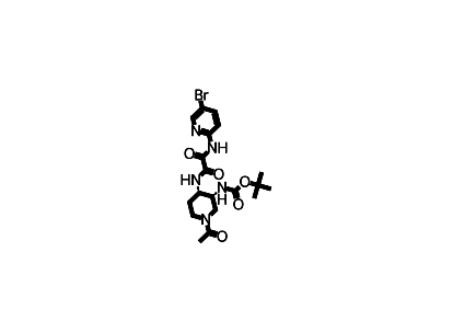 CC(=O)N1CC[C@H](NC(=O)C(=O)Nc2ccc(Br)cn2)[C@H](NC(=O)OC(C)(C)C)C1